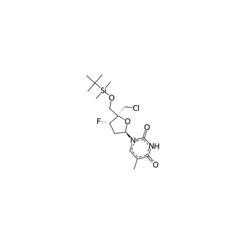 Cc1cn([C@H]2C[C@H](F)[C@@](CCl)(CO[Si](C)(C)C(C)(C)C)O2)c(=O)[nH]c1=O